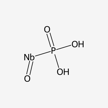 [O]=[Nb][P](=O)(O)O